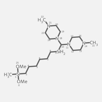 CO[Si](C)(CCCCCC[SiH2]C(N1CCN(C)CC1)N1CCN(C)CC1)OC